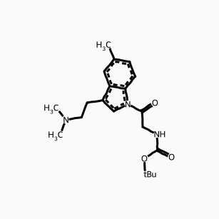 Cc1ccc2c(c1)c(CCN(C)C)cn2C(=O)CNC(=O)OC(C)(C)C